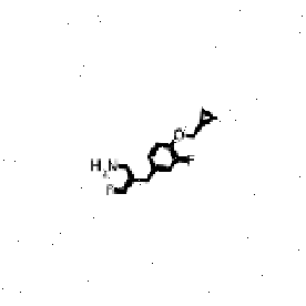 NC/C(=C\F)Cc1ccc(OCC2CC2)c(F)c1